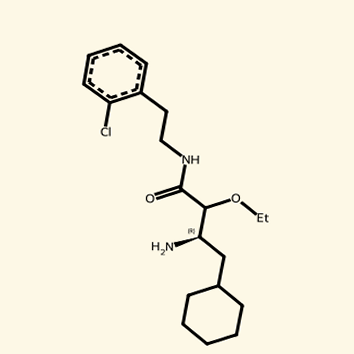 CCOC(C(=O)NCCc1ccccc1Cl)[C@H](N)CC1CCCCC1